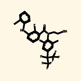 Cc1ccccc1Nc1cccc(C(=O)N(CCO)c2c(C)cc(C(F)(C(F)(F)F)C(F)(F)F)cc2C)c1F